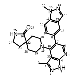 Cc1n[nH]c2ncc(-c3ccc4c(cnn4C)c3)c(N3CCC4(CCNC4=O)CC3)c12